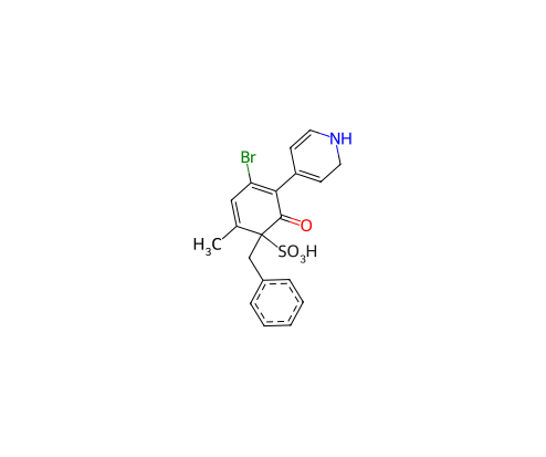 CC1=CC(Br)=C(C2=CCNC=C2)C(=O)C1(Cc1ccccc1)S(=O)(=O)O